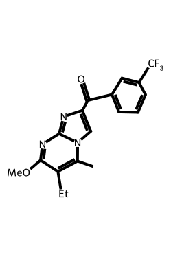 CCc1c(OC)nc2nc(C(=O)c3cccc(C(F)(F)F)c3)cn2c1C